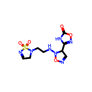 O=c1[nH]c(C2C=NON2NCCN2CC=NS2(=O)=O)no1